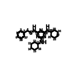 c1ccc(CSNc2nc(NC3CCCCC3)nc(NC3CCCCC3)n2)cc1